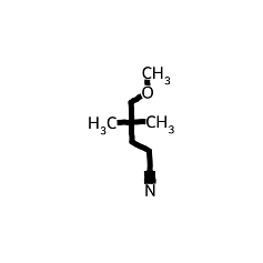 COCC(C)(C)CCC#N